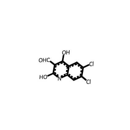 O=Cc1c(O)nc2cc(Cl)c(Cl)cc2c1O